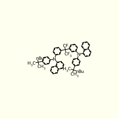 CCCCC(C)(C)c1ccc(N(c2cccc(C(c3cccc(N(c4ccc(C(C)(C)CCCC)cc4)c4cccc5ccccc45)c3)(C(F)(F)F)C(F)(F)F)c2)c2cccc3ccccc23)cc1